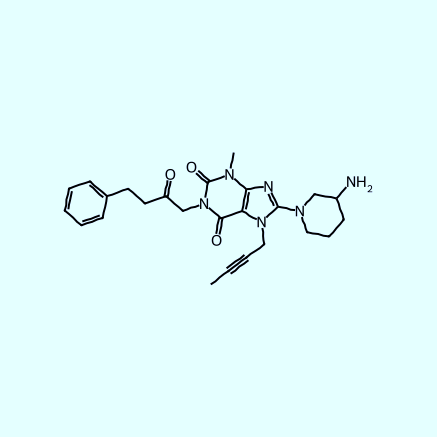 CC#CCn1c(N2CCCC(N)C2)nc2c1c(=O)n(CC(=O)CCc1ccccc1)c(=O)n2C